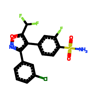 NS(=O)(=O)c1ccc(-c2c(-c3cccc(Cl)c3)noc2C(F)F)cc1F